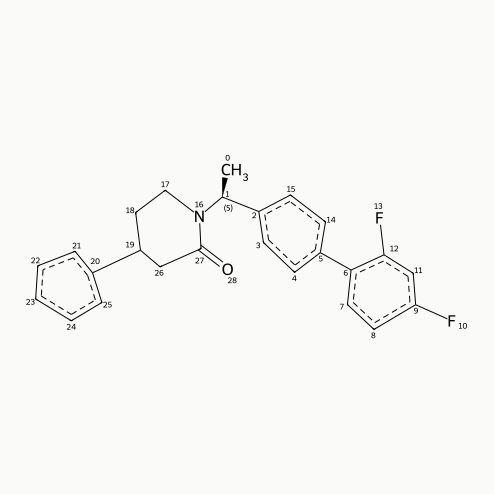 C[C@@H](c1ccc(-c2ccc(F)cc2F)cc1)N1CCC(c2ccccc2)CC1=O